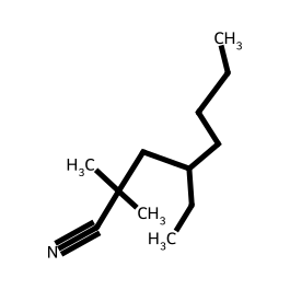 CCCCC(CC)CC(C)(C)C#N